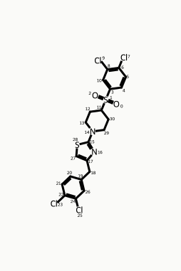 O=S(=O)(c1ccc(Cl)c(Cl)c1)C1CCN(c2nc(Cc3ccc(Cl)c(Cl)c3)cs2)CC1